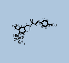 C=Cc1cc(CNC(=O)C=Cc2ccc(C(C)(C)C)cc2)ccc1NS(C)(=O)=O